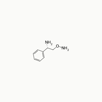 NOC[C@@H](N)c1ccccc1